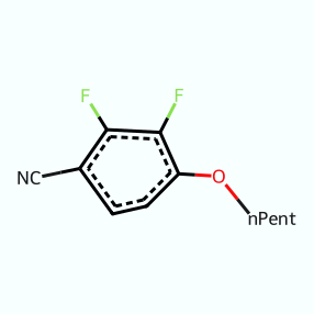 CCCCCOc1ccc(C#N)c(F)c1F